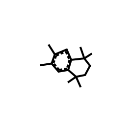 Cc1cc2c(cc1C)C(C)(C)CCC2(C)C